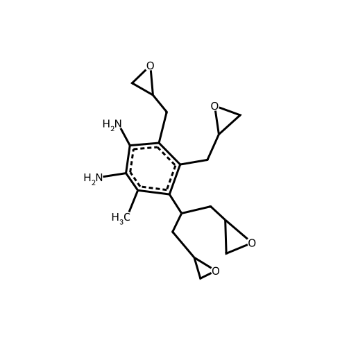 Cc1c(N)c(N)c(CC2CO2)c(CC2CO2)c1C(CC1CO1)CC1CO1